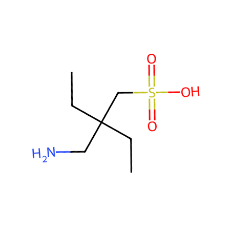 CCC(CC)(CN)CS(=O)(=O)O